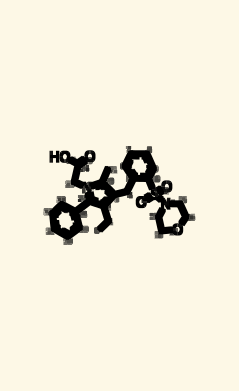 CCc1c(Cc2ccccc2S(=O)(=O)N2CCOCC2)c(C)n(CC(=O)O)c1-c1ccccc1